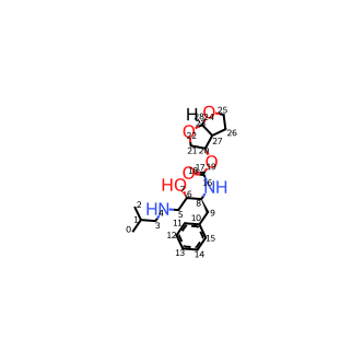 CC(C)CNC[C@@H](O)[C@H](Cc1ccccc1)NC(=O)O[C@H]1CO[C@H]2OCCC21